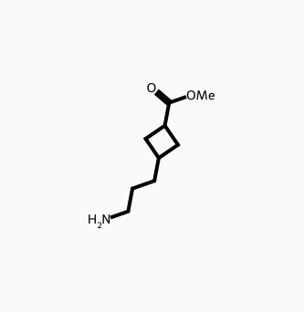 COC(=O)C1CC(CCCN)C1